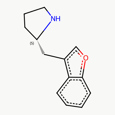 c1ccc2c(C[C@@H]3CCCN3)coc2c1